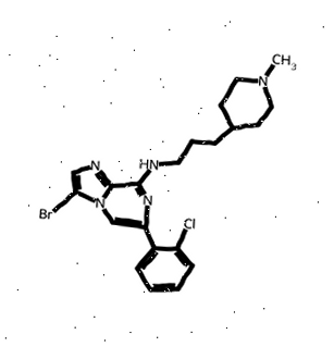 CN1CCC(CCCNc2nc(-c3ccccc3Cl)cn3c(Br)cnc23)CC1